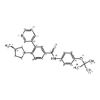 C[C@@H]1CCN(c2ncc(C(=O)Nc3ccc(OC(C)(C)C)cc3)cc2-c2cncnc2)C1